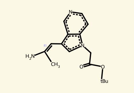 C/C(N)=C\c1cn(CC(=O)OC(C)(C)C)c2ccncc12